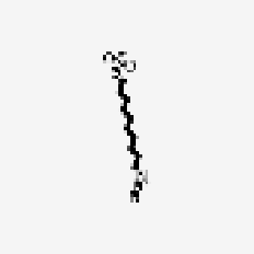 CS(=O)(=O)OCCCCCCCCCCN=[N+]=[N-]